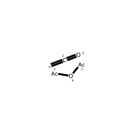 C=C=O.CC(=O)OC(C)=O